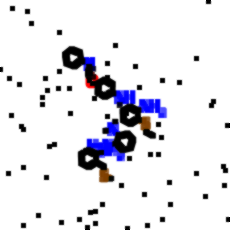 CCSc1ccccc1N.CN(C)c1ccccc1N.CNc1ccccc1.CSCc1ccccc1N.O=C=Nc1ccccc1